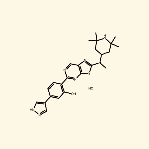 CN(c1nc2cnc(-c3ccc(-c4cn[nH]c4)cc3O)nc2s1)C1CC(C)(C)NC(C)(C)C1.Cl